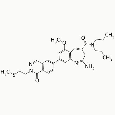 CCCN(CCC)C(=O)C1=Cc2c(cc(-c3ccc4c(=O)n(CCSC)ncc4c3)cc2OC)N=C(N)C1